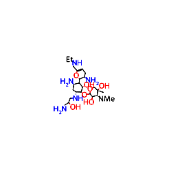 CCNCC1=CC[C@@H](N)[C@@H](C2[C@@H](N)C[C@@H](NCC(O)CN)[C@H](O[C@H]3OC[C@](C)(O)[C@H](NC)[C@H]3O)[C@H]2O)O1